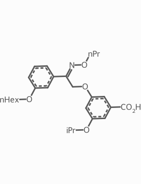 CCCCCCOc1cccc(/C(COc2cc(OC(C)C)cc(C(=O)O)c2)=N/OCCC)c1